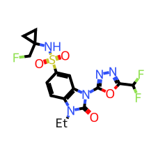 CCn1c(=O)n(-c2nnc(C(F)F)o2)c2cc(S(=O)(=O)NC3(CF)CC3)ccc21